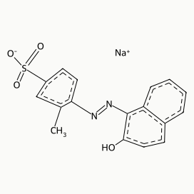 Cc1cc(S(=O)(=O)[O-])ccc1N=Nc1c(O)ccc2ccccc12.[Na+]